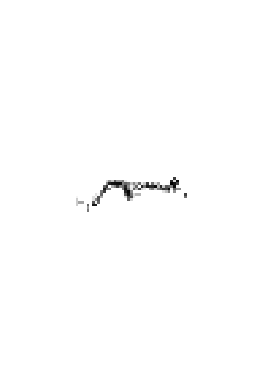 C1CO1.CCCCCCCC/C=C\CCCCC(CCCO)CCCCCCCCCCCCCCCC